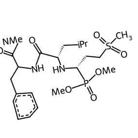 CNC(=O)C(Cc1ccccc1)NC(=O)[C@H](CC(C)C)N[C@H](CCS(C)(=O)=O)P(=O)(OC)OC